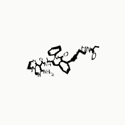 C=CC(=O)NCCC#Cc1cccc2cc([C@H](C)NC(=O)c3c(N)ncn4ccnc34)n(-c3ccccc3)c(=O)c12